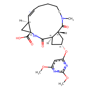 COc1cc(O[C@@H]2C[C@H]3C(=O)N[C@]4(C(=O)O)C[C@H]4/C=C\CCCCN(C)C(=O)[C@@H]3C2)nc(OC)n1